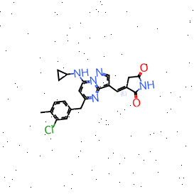 Cc1ccc(Cc2cc(NC3CC3)n3ncc(/C=C4\CC(=O)NC4=O)c3n2)cc1Cl